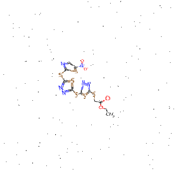 CCOC(=O)CSc1nnc(Sc2nnc(Sc3ncc([N+](=O)[O-])s3)s2)s1